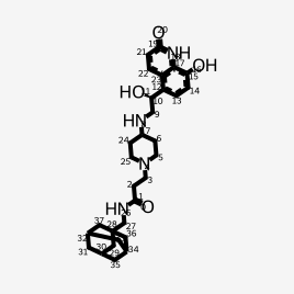 O=C(CCN1CCC(NC[C@@H](O)c2ccc(O)c3[nH]c(=O)ccc23)CC1)NCC12CC3CC(CC(C3)C1)C2